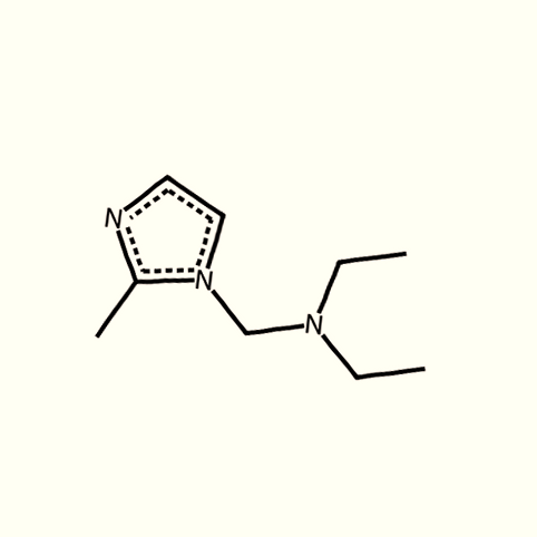 CCN(CC)Cn1ccnc1C